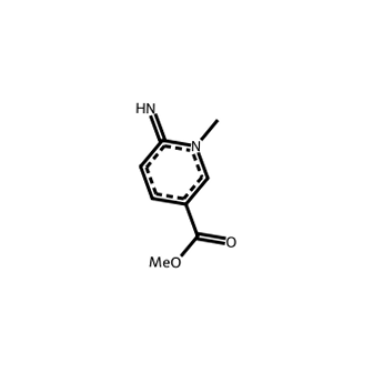 COC(=O)c1ccc(=N)n(C)c1